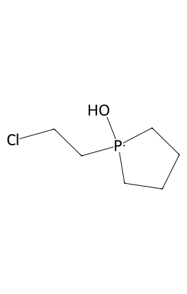 O[P]1(CCCl)CCCC1